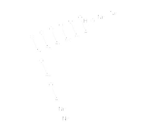 CC(=O)[O-].CC(=O)[O-].CC(=O)[O-].CC(=O)[O-].CC(=O)[O-].CC(=O)[O-].CC(=O)[O-].CC(=O)[O-].O.[Ni+2].[Ni+2].[Ni+2].[Ni+2]